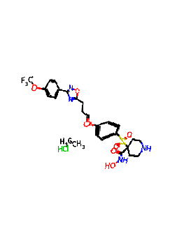 CC.Cl.O=C(NO)C1(S(=O)(=O)c2ccc(OCCCc3nc(-c4ccc(OC(F)(F)F)cc4)no3)cc2)CCNCC1